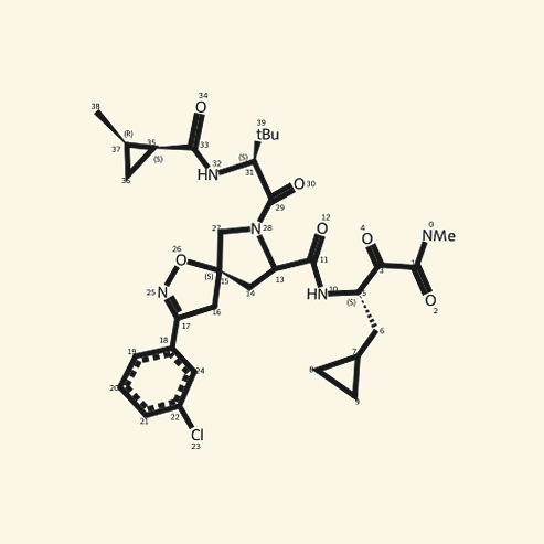 CNC(=O)C(=O)[C@H](CC1CC1)NC(=O)C1C[C@]2(CC(c3cccc(Cl)c3)=NO2)CN1C(=O)[C@@H](NC(=O)[C@H]1C[C@H]1C)C(C)(C)C